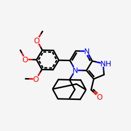 COc1cc(C2=CN=C3NCC(C=O)=C3N2C23CC4CC(CC(C4)C2)C3)cc(OC)c1OC